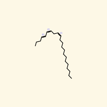 CCC/C=C/C=C\C/C=C\CCCCCCCCCCCC